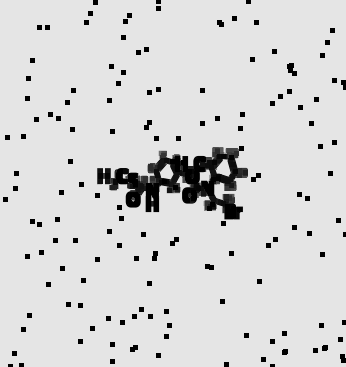 CSC(=O)Nc1cccc(OC(=O)N(CCBr)c2ccccc2C)c1